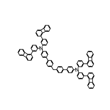 c1cc(-c2cccc3c2-c2ccccc2-3)cc(N(c2ccc(-c3ccc(Cc4ccc(-c5ccc(N(c6cccc(-c7cccc8c7-c7ccccc7-8)c6)c6cccc(-c7cccc8c7-c7ccccc7-8)c6)cc5)cc4)cc3)cc2)c2cccc(-c3cccc4c3-c3ccccc3-4)c2)c1